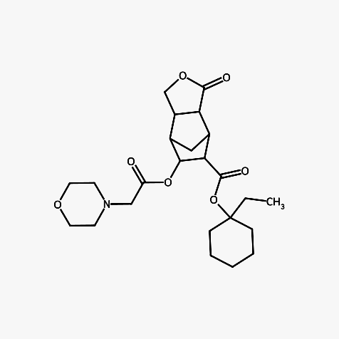 CCC1(OC(=O)C2C3CC(C4COC(=O)C43)C2OC(=O)CN2CCOCC2)CCCCC1